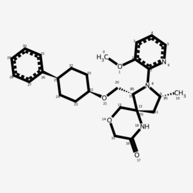 COc1cccnc1N1[C@H](C)C[C@@]2(COCC(=O)N2)[C@@H]1CO[C@H]1CC[C@@H](c2ccccc2)CC1